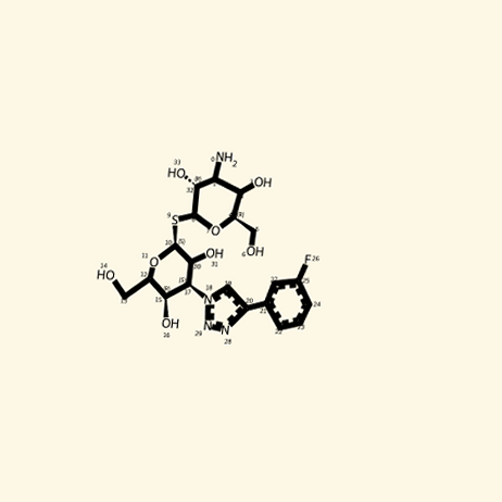 NC1C(O)[C@@H](CO)OC(S[C@@H]2OC(CO)[C@H](O)[C@H](n3cc(-c4cccc(F)c4)nn3)C2O)[C@@H]1O